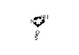 O=S.c1c[nH]cn1